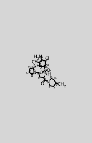 C=C1CCN(C(=O)C(CCn2cccc2N)NS(=O)(=O)c2cc(Cl)c(N)c(Cl)c2)CC1